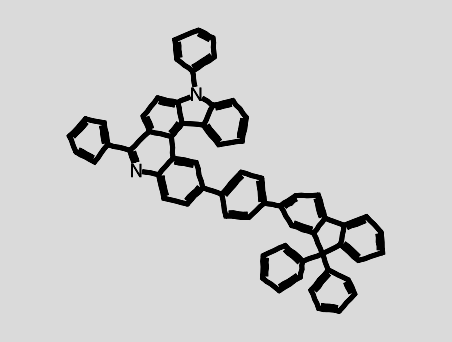 c1ccc(-c2nc3ccc(-c4ccc(-c5ccc6c(c5)C(c5ccccc5)(c5ccccc5)c5ccccc5-6)cc4)cc3c3c2ccc2c3c3ccccc3n2-c2ccccc2)cc1